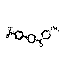 CN1CCN(C(=O)N2CCN(c3ccc([N+](=O)[O-])cc3)CC2)CC1